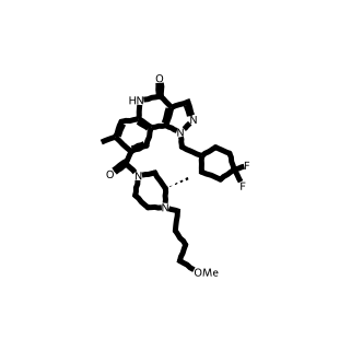 COCCCCN1CCN(C(=O)c2cc3c(cc2C)[nH]c(=O)c2cnn(CC4CCC(F)(F)CC4)c23)C[C@@H]1C